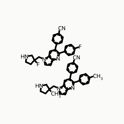 Cc1ccc(-c2nc3ccn(CC4(C)CCNC4)c3cc2-c2ccc(C#N)cc2)cc1.N#Cc1ccc(-c2cc3c(ccn3CC3(F)CCNC3)nc2-c2ccc(F)cc2)cc1